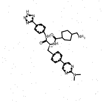 CN(C)c1ncc(-c2ccc(C[C@H](NC(=O)C3CCC(CN)CC3)C(=O)Nc3ccc(-c4nn[nH]n4)cc3)cc2)cn1